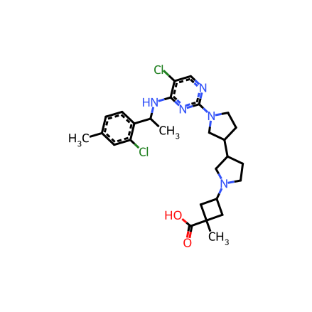 Cc1ccc(C(C)Nc2nc(N3CCC(C4CCN(C5CC(C)(C(=O)O)C5)C4)C3)ncc2Cl)c(Cl)c1